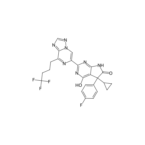 O=C1Nc2nc(-c3cn4ncnc4c(CCCC(F)(F)F)n3)nc(O)c2C1(c1ccc(F)cc1)C1CC1